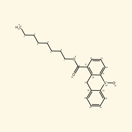 CCCCCCCCOC(=O)c1cccc2c1Cc1ccccc1[S+]2[O-]